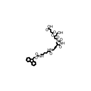 O=C(O)CCC(=O)OC1CC(n2cc(C#CCNC(=O)CCCCCNC(=O)OCC3c4ccccc4-c4ccccc43)c(=O)[nH]c2=O)OC1CO